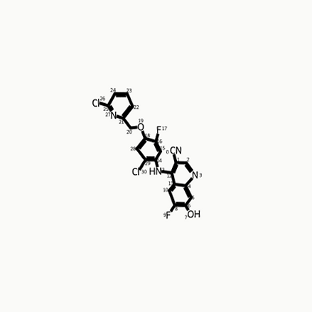 N#Cc1cnc2cc(O)c(F)cc2c1Nc1cc(F)c(OCc2cccc(Cl)n2)cc1Cl